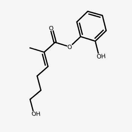 CC(=CCCCO)C(=O)Oc1ccccc1O